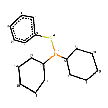 c1ccc(SP(C2CCCCC2)C2CCCCC2)cc1